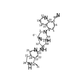 C[C@@H]1CN(c2ccc(C#N)c3ncccc23)C[C@@H]2C[C@@H](Nc3cc4c(cn3)CCN[C@@H]4C)CN21